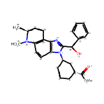 COC(=O)[C@@H]1CCC[C@@H](n2c(C(O)c3ccccc3)nc3c4c(ccc32)N(C(=O)O)[C@@H](C)CC4)C1